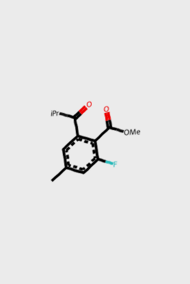 COC(=O)c1c(F)cc(C)cc1C(=O)C(C)C